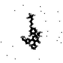 CCc1cnc(C2=C(c3nnn[nH]3)C(=O)N[C@@](c3ccc(OCCCC(F)(F)F)cc3F)(C(F)(F)F)C2)s1